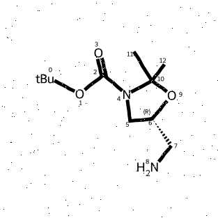 CC(C)(C)OC(=O)N1C[C@@H](CN)OC1(C)C